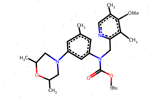 COc1c(C)cnc(CN(C(=O)OC(C)(C)C)c2cc(C)cc(N3CC(C)OC(C)C3)c2)c1C